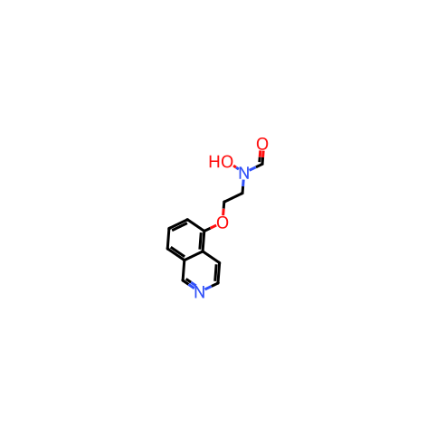 O=CN(O)CCOc1cccc2cnccc12